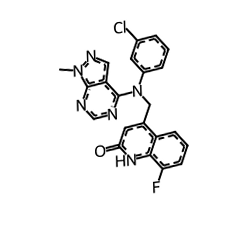 Cn1ncc2c(N(Cc3cc(=O)[nH]c4c(F)cccc34)c3cccc(Cl)c3)ncnc21